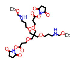 CCOCNCCCOCC(COCCCNCOCC)(COCCC(=O)ON1C(=O)CCC1=O)COCCC(=O)ON1C(=O)CCC1=O